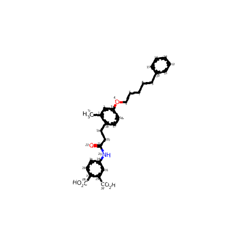 Cc1cc(OCCCCCc2ccccc2)ccc1CCC(=O)Nc1ccc(C(=O)O)c(C(=O)O)c1